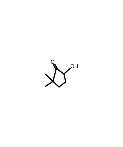 CC1(C)CCC(O)C1=O